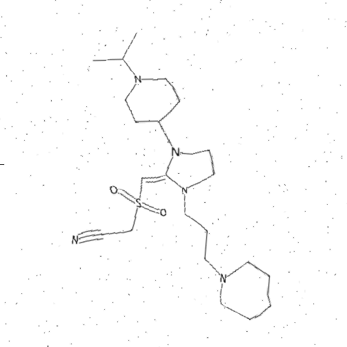 CC(C)N1CCC(N2CCN(CCCN3CCCCC3)/C2=C\S(=O)(=O)CC#N)CC1